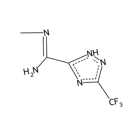 C/N=C(\N)c1nc(C(F)(F)F)n[nH]1